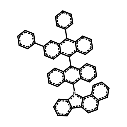 c1ccc(-c2ccc3c(-c4c5ccccc5c(-n5c6ccccc6c6ccc7ccccc7c65)c5ccccc45)c4ccccc4c(-c4ccccc4)c3c2)cc1